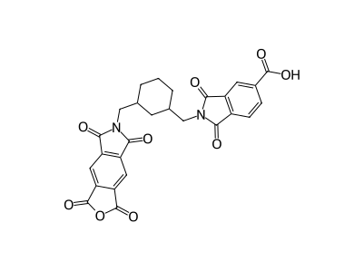 O=C(O)c1ccc2c(c1)C(=O)N(CC1CCCC(Cn3c(=O)c4cc5c(=O)oc(=O)c5cc4c3=O)C1)C2=O